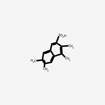 Cc1cc2cc(S(=O)(=O)O)c(C)c(C)c2cc1C